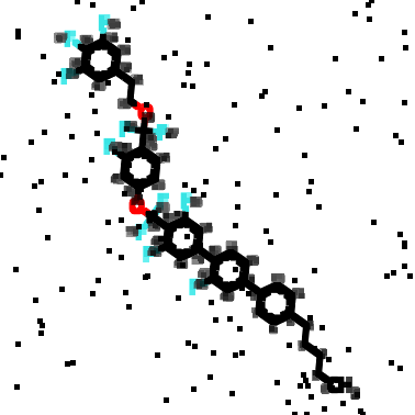 CCCCCc1ccc(-c2ccc(-c3cc(F)c(C(F)(F)Oc4ccc(C(F)(F)OCCc5cc(F)c(F)c(F)c5)c(F)c4)c(F)c3)c(F)c2)cc1